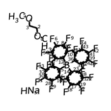 COCCOC.Fc1c(F)c(F)c([B-](c2c(F)c(F)c(F)c(F)c2F)(c2c(F)c(F)c(F)c(F)c2F)c2c(F)c(F)c(F)c(F)c2F)c(F)c1F.[NaH]